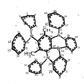 Cc1c(N(c2ccccc2)c2ccccc2)c(C)c2c3c1N(c1ccccc1)c1ccccc1B3c1ccccc1N2c1ccccc1